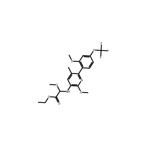 CCOC(=O)C(Nc1cc(C)c(-c2ccc(OC(F)(F)F)cc2OC)nc1OC)OC